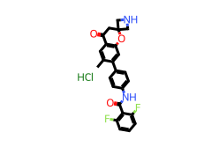 Cc1cc2c(cc1-c1ccc(NC(=O)c3c(F)cccc3F)cc1)OC1(CNC1)CC2=O.Cl